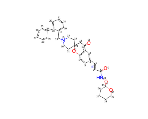 O=C(/C=C/c1ccc2c(c1)C(=O)CC1(CCN(Cc3ccccc3-c3ccccc3)CC1)O2)NOC1CCCCO1